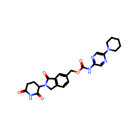 O=C1CCC(N2Cc3ccc(COC(=O)Nc4cnc(N5CCCCC5)cn4)cc3C2=O)C(=O)N1